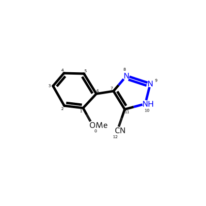 COc1ccccc1-c1nn[nH]c1C#N